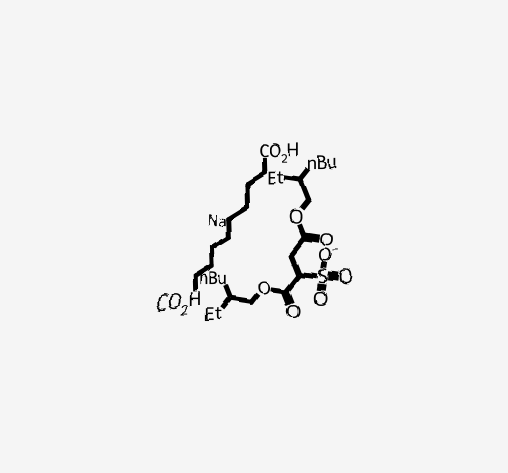 CCCCC(CC)COC(=O)CC(C(=O)OCC(CC)CCCC)S(=O)(=O)[O-].O=C(O)CCCCCCCCC(=O)O.[Na+]